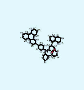 c1ccc(-c2ccccc2N(c2ccc(-c3ccc4c5ccccc5c5ccccc5c4c3)cc2)c2cccc(-c3cccc4ccccc34)c2)cc1